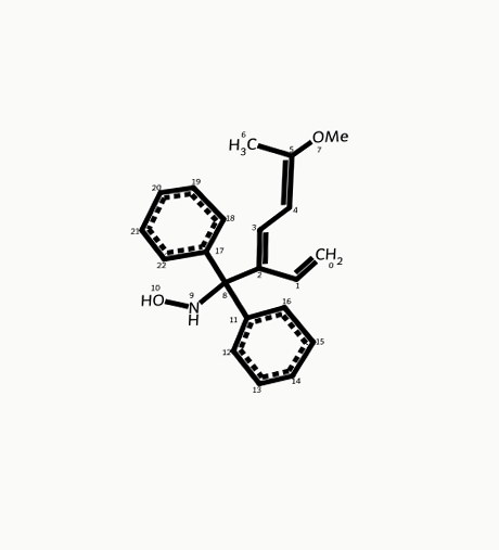 C=C/C(=C\C=C(/C)OC)C(NO)(c1ccccc1)c1ccccc1